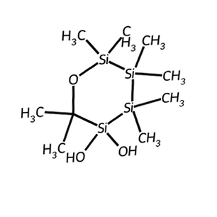 CC1(C)O[Si](C)(C)[Si](C)(C)[Si](C)(C)[Si]1(O)O